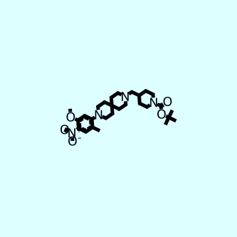 COc1cc(N2CCC3(CCN(CC4CCN(C(=O)OC(C)(C)C)CC4)CC3)CC2)c(C)cc1[N+](=O)[O-]